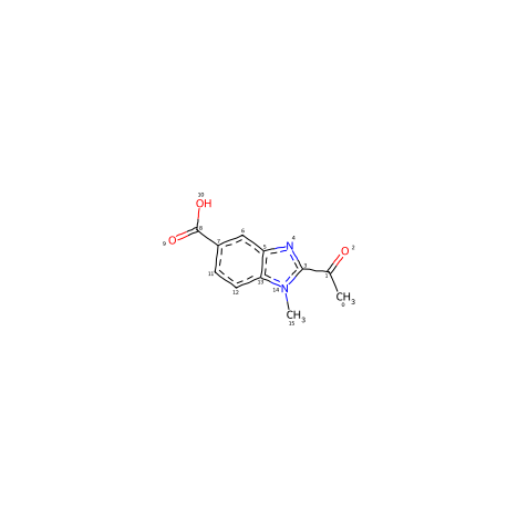 CC(=O)c1nc2cc(C(=O)O)ccc2n1C